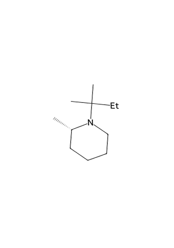 CCC(C)(C)N1CCCC[C@@H]1C